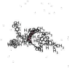 CO[C@H]1/C=C/O[C@@]2(C)Oc3c(C)c(O)c4c(c3C2=O)C2=NC3(CCN(CC(C)C)CC3)NC2=C(NC(=O)/C(C)=C\C=C\[C@H](C)[C@H](OC(=O)CN(CCCCC(P(=O)(O)O)P(=O)(O)O)CCNC(=O)OCc2ccc(OC(C)=O)cc2)[C@@H](C)[C@@H](O)[C@@H](C)[C@H](OC(C)=O)[C@@H]1C)C4=O